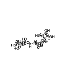 CCNC(=O)/N=C(/N)NCCC[C@@H](NC(=O)[C@@H](c1ccccc1)c1ccc(NCCCNC(=O)[C@H](N)CCCNC(=O)[C@@H](Cc2ccc(-c3ccccc3)cc2)NC(=O)CN2CCN(CC(=O)O)CCN(CC(=O)O)CCN(CC(=O)O)CC2)cc1)C(=O)NCc1ccc(O)cc1